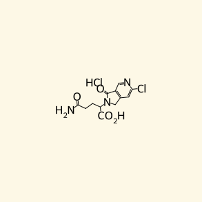 Cl.NC(=O)CCC(C(=O)O)N1Cc2cc(Cl)ncc2C1=O